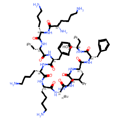 CC[C@H](C)[C@H](NC(=O)[C@H](CCCCN)NC(=O)[C@H](CCCCN)NC(=O)[C@H](Cc1ccccc1)NC(=O)[C@H](CC(C)C)NC(=O)[C@H](CCCCN)NC(=O)[C@@H](N)CCCCN)C(=O)N[C@@H](CC(C)C)C(=O)N[C@@H](CCCCN)C(=O)N[C@@H](Cc1ccccc1)C(=O)N[C@@H](CC(C)C)C(=O)O